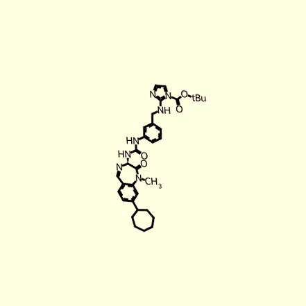 CN1C(=O)[C@H](NC(=O)Nc2cccc(CNc3nccn3C(=O)OC(C)(C)C)c2)N=Cc2ccc(C3CCCCCC3)cc21